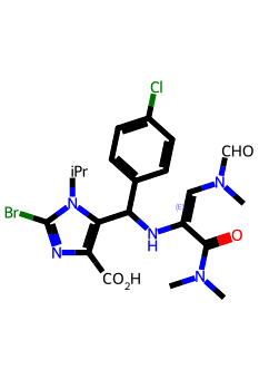 CC(C)n1c(Br)nc(C(=O)O)c1C(N/C(=C/N(C)C=O)C(=O)N(C)C)c1ccc(Cl)cc1